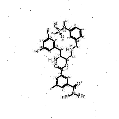 CCCN(CCC)C(=O)c1cc(C)cc(C(=O)O[C@H](CNCc2cccc(N(C)S(C)(=O)=O)c2)[C@@H](N)Cc2cc(F)cc(F)c2)c1